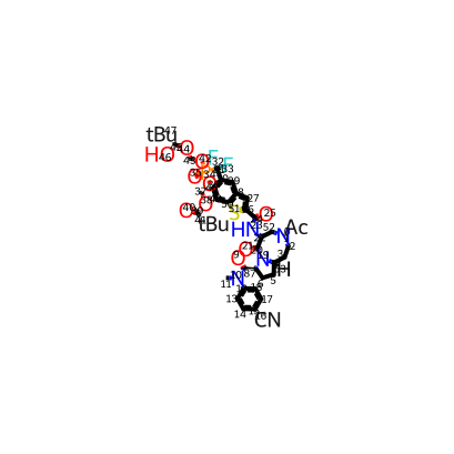 CC(=O)N1CC[C@H]2CC[C@@H](C(=O)N(C)c3ccc(C#N)cc3)N2C(=O)C(NC(=O)c2cc3cc(C(F)(F)P(=O)(OCOC(=O)C(C)(C)C)OCOC(O)C(C)(C)C)ccc3s2)C1